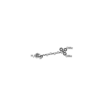 COc1ccc(C(OCCOCCOCCOCCOCCCc2csc(CO[Si](C)(C)C(C)(C)C)c2)(c2ccccc2)c2ccc(OC)cc2)cc1